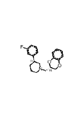 Fc1cccc([C@@H]2CCCN(C[C@H]3COc4ccccc4O3)C2)c1